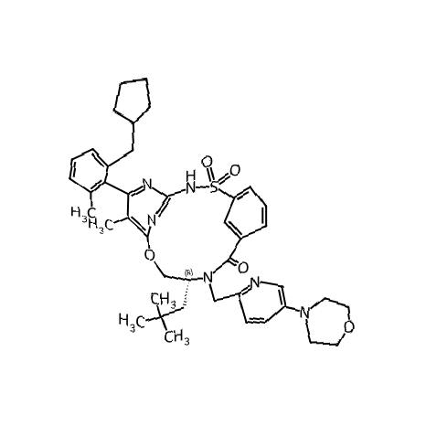 Cc1cccc(CC2CCCC2)c1-c1nc2nc(c1C)OC[C@@H](CC(C)(C)C)N(Cc1ccc(N3CCOCC3)cn1)C(=O)c1cccc(c1)S(=O)(=O)N2